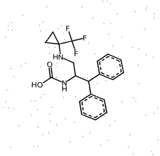 O=C(O)NC(CNC1(C(F)(F)F)CC1)C(c1ccccc1)c1ccccc1